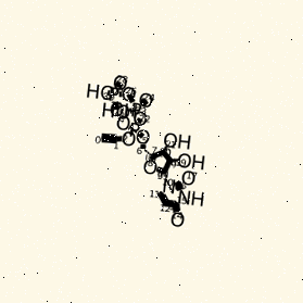 C#COP(=O)(OC[C@H]1O[C@@H](n2ccc(=O)[nH]c2=O)[C@H](O)[C@@H]1O)OP(=O)(O)OP(=O)(O)O